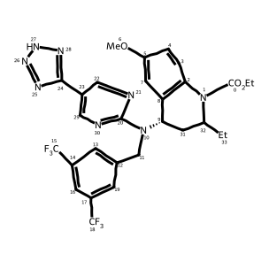 CCOC(=O)N1c2ccc(OC)cc2[C@@H](N(Cc2cc(C(F)(F)F)cc(C(F)(F)F)c2)c2ncc(-c3nn[nH]n3)cn2)CC1CC